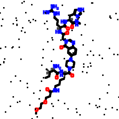 CC[C@H](C)[C@H](N)C(=O)N[C@@H](CCCCNC(=O)CCOCCOC)C(=O)N1CCN(c2ccc3ncn(CC(=O)N[C@@H](CCCNC(=N)N)C(=O)N[C@@H](Cc4c[nH]cn4)C(=O)NC)c(=O)c3c2)CC1